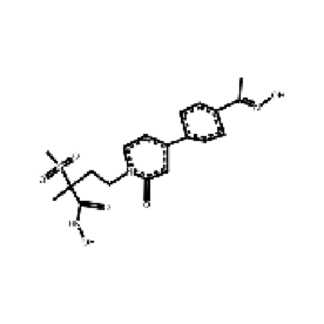 C/C(=N\O)c1ccc(-c2ccn(CCC(C)(C(=O)NO)S(C)(=O)=O)c(=O)c2)cc1